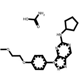 COCCOc1ccc(-n2nnc3cnc(NC4CCCC4)nc32)cc1.NC(=O)O